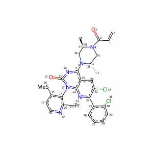 C=CC(=O)N1C[C@H](C)N(c2nc(=O)n(-c3c(SC)ccnc3C(C)C)c3nc(-c4ccccc4Cl)c(Cl)cc23)C[C@H]1C